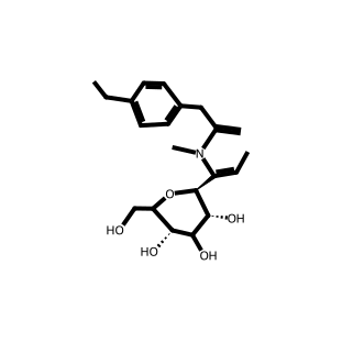 C=C(Cc1ccc(CC)cc1)N(C)/C(=C\C)[C@@H]1OC(CO)[C@@H](O)C(O)[C@H]1O